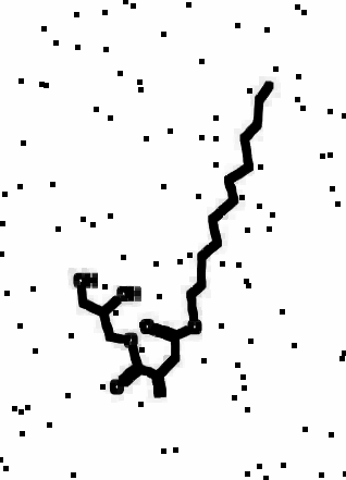 C=C(CC(=O)OCCCCCCCCCCCC)C(=O)OCC(O)CO